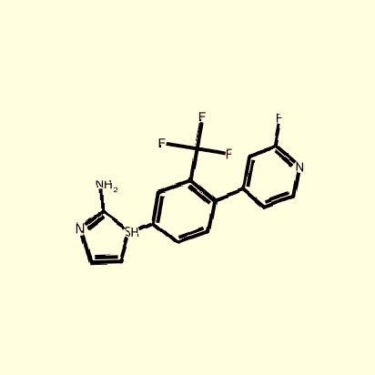 NC1=NC=C[SH]1c1ccc(-c2ccnc(F)c2)c(C(F)(F)F)c1